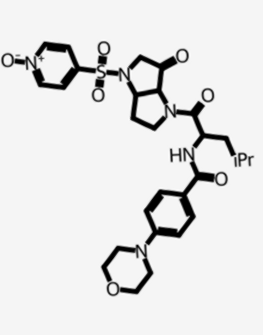 CC(C)CC(NC(=O)c1ccc(N2CCOCC2)cc1)C(=O)N1CCC2C1C(=O)CN2S(=O)(=O)c1cc[n+]([O-])cc1